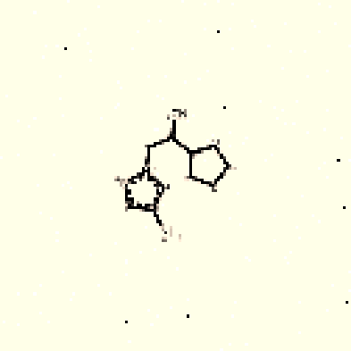 N#CC(Cn1cc(N)cn1)C1CCCC1